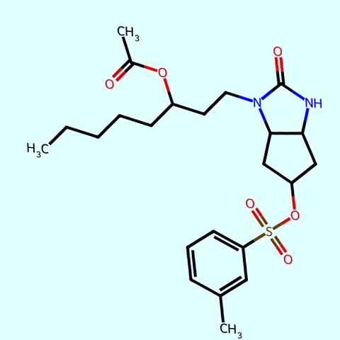 CCCCCC(CCN1C(=O)NC2CC(OS(=O)(=O)c3cccc(C)c3)CC21)OC(C)=O